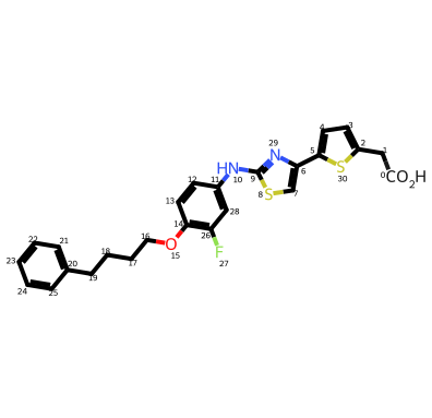 O=C(O)Cc1ccc(-c2csc(Nc3ccc(OCCCCc4ccccc4)c(F)c3)n2)s1